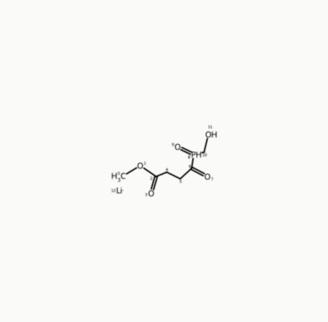 COC(=O)CCC(=O)[PH](=O)CO.[Li]